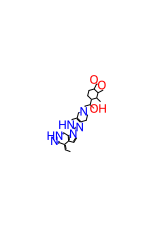 C/C=C(/C#N)c1ccn(C2=NC3=C(CN2)CN(CC(O)C2CCC4C(=O)OCC4C2C)CC3)c1C=N